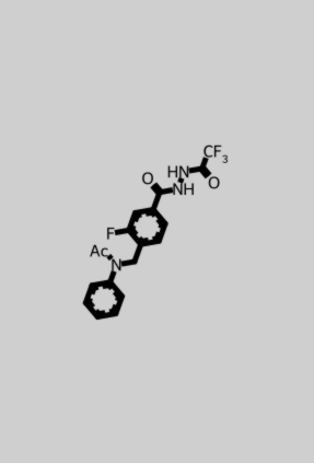 CC(=O)N(Cc1ccc(C(=O)NNC(=O)C(F)(F)F)cc1F)c1ccccc1